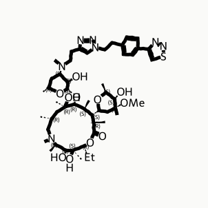 CC[C@H]1OC(=O)[C@H](C)[C@@H](C2C[C@@](C)(OC)[C@@H](O)[C@H](C)O2)[C@H](C)[C@@H](O[C@@H]2O[C@H](C)C[C@H](N(C)CCc3cn(CCc4ccc(-c5csnn5)cc4)nn3)[C@H]2O)[C@](C)(O)C[C@@H](C)CN(C)[C@H](C)[C@@H](O)[C@]1(C)O